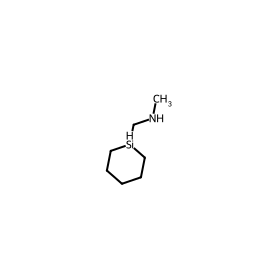 CNC[SiH]1CCCCC1